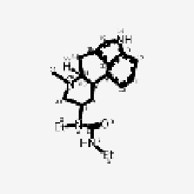 CCNC(=O)N(CC)C1CC2c3cccc4[nH]cc(c34)C[C@H]2N(C)C1